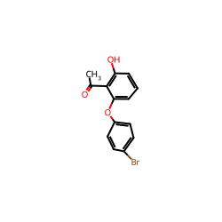 CC(=O)c1c(O)cccc1Oc1ccc(Br)cc1